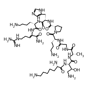 C[C@H](NC(=O)[C@@H](NC(=O)[C@@H](N)CCCCCN)[C@@H](O)CN)C(=O)NCC(=O)N[C@H](CCCN)C(=O)N1CCC[C@H]1C(=O)N[C@@H](Cc1cnc[nH]1)C(=O)N[C@@H](CCCCN)C(=O)N/C(=C\CCNC(=N)N)C(N)=O